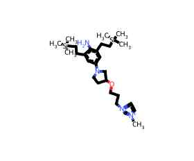 C[n+]1ccn(CCCOC2CCN(c3cc(CC[Si](C)(C)C)c(N)c(CC[Si](C)(C)C)c3)C2)c1